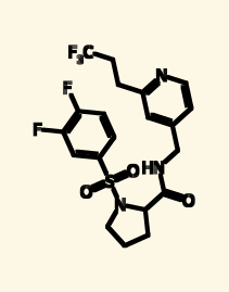 O=C(NCc1ccnc(CCC(F)(F)F)c1)C1CCCN1S(=O)(=O)c1ccc(F)c(F)c1